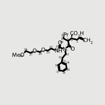 C=CC[C@H](C(=O)O)C(CC(C)C)C(=O)N(CCc1ccccc1)C(=O)NCCOCOCCOC